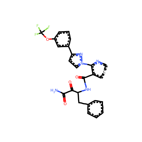 NC(=O)C(=O)C(Cc1ccccc1)NC(=O)c1cccnc1-n1ccc(-c2cccc(OC(F)(F)F)c2)n1